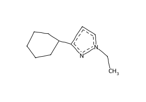 CCn1ccc(C2CCCCC2)n1